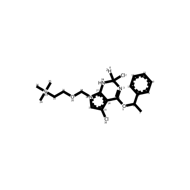 [2H]C1(Cl)N=C(OC(C)c2ccccc2)c2c(Cl)cn(COCC[Si](C)(C)C)c2N1